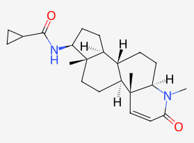 CN1C(=O)C=C[C@]2(C)[C@H]3CC[C@]4(C)[C@@H](NC(=O)C5CC5)CC[C@H]4[C@@H]3CC[C@@H]12